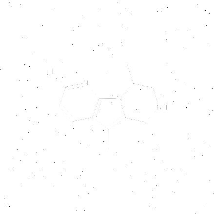 Cc1c2n(c3nc(Cl)ccc13)C(C)CNC2